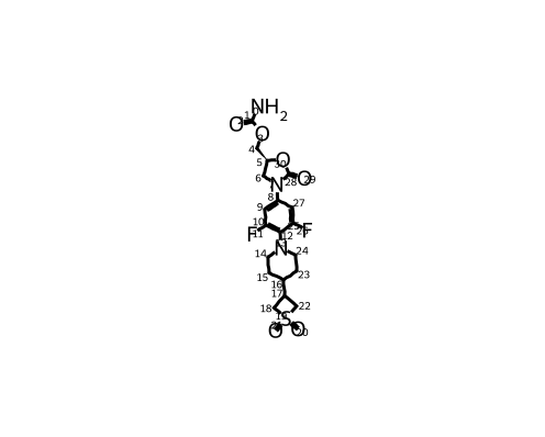 NC(=O)OC[C@@H]1CN(c2cc(F)c(N3CCC(C4CS(=O)(=O)C4)CC3)c(F)c2)C(=O)O1